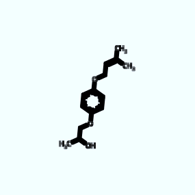 CC(C)=CCOc1ccc(OCC(C)O)cc1